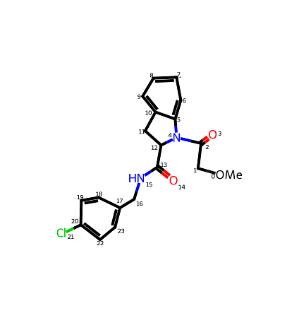 COCC(=O)N1c2c[c]ccc2CC1C(=O)NCc1ccc(Cl)cc1